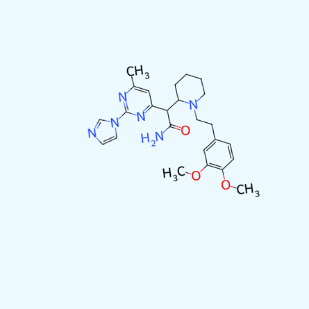 COc1ccc(CCN2CCCCC2C(C(N)=O)c2cc(C)nc(-n3ccnc3)n2)cc1OC